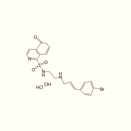 Cl.Cl.O=C1CC=Cc2c1ccnc2S(=O)(=O)NCCNCC=Cc1ccc(Br)cc1